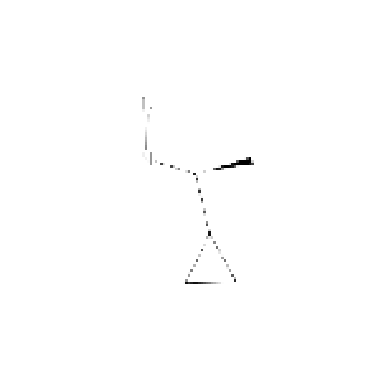 C[C@H](NN)C1CC1